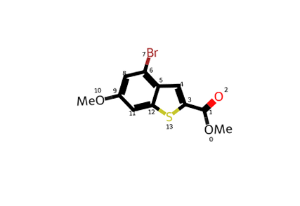 COC(=O)c1cc2c(Br)cc(OC)cc2s1